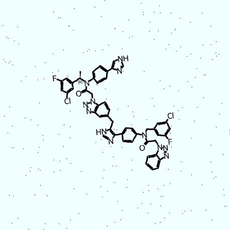 C[C@H](c1cc(F)cc(Cl)c1)N(C(=O)Cn1nnc2cc(Cc3[nH]cnc3-c3ccc(N(Cc4cc(F)cc(Cl)c4)C(=O)Cn4nnc5ccccc54)cc3)ccc21)c1ccc(-c2c[nH]cn2)cc1